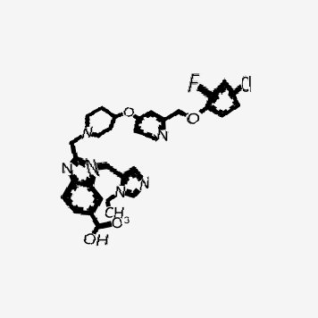 CCn1cncc1Cn1c(CN2CCC(Oc3ccnc(COc4ccc(Cl)cc4F)c3)CC2)nc2ccc(C(=O)O)cc21